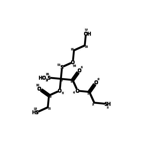 O=C(CS)OC(=O)C(OC(=O)CS)(SOCCO)S(=O)(=O)O